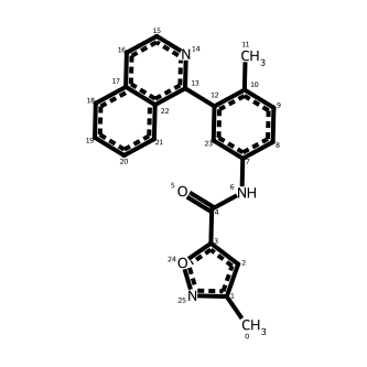 Cc1cc(C(=O)Nc2ccc(C)c(-c3nccc4ccccc34)c2)on1